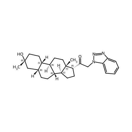 C[C@@]1(O)CC[C@H]2[C@H](CC[C@@H]3[C@@H]2CC[C@]2(C)[C@H](C(=O)Cn4nnc5ccccc54)CC[C@@H]32)C1